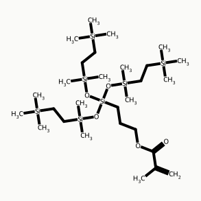 C=C(C)C(=O)OCCC[Si](O[Si](C)(C)CC[Si](C)(C)C)(O[Si](C)(C)CC[Si](C)(C)C)O[Si](C)(C)CC[Si](C)(C)C